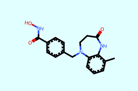 Cc1cccc2c1NC(=O)CCN2Cc1ccc(C(=O)NO)cc1